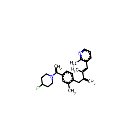 C=C(Cc1ccc(C(=C)N2CCC(F)CC2)cc1C)/C(C)=C/c1cccnc1C